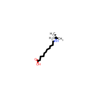 CCC(C)(C)NCCCCCCCCCCC(=O)O